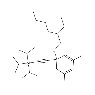 CCCCC(CC)COC1(C#C[Si](C(C)C)(C(C)C)C(C)C)C=C(C)C=C(C)C1